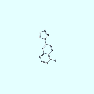 Ic1ncnc2cc(-n3ccnn3)ccc12